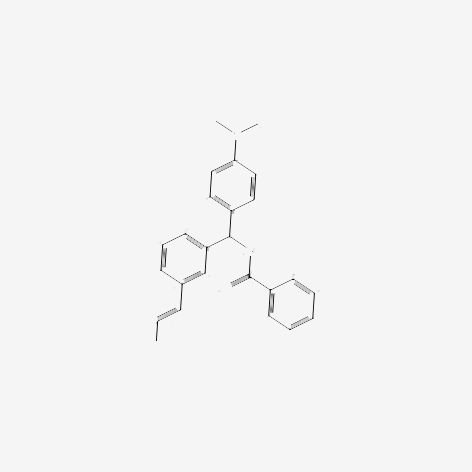 CN(C)c1ccc(C(NC(=O)c2ccccc2)c2cccc(/C=C/C(=O)O)c2)cc1